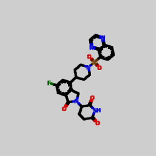 O=C1CCC(N2Cc3c(cc(F)cc3C3CCN(S(=O)(=O)c4cccc5nccnc45)CC3)C2=O)C(=O)N1